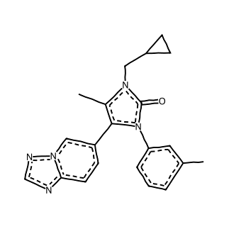 Cc1cccc(-n2c(-c3ccc4ncnn4c3)c(C)n(CC3CC3)c2=O)c1